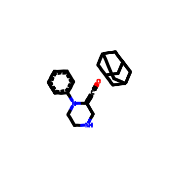 C1C2CC3CC1CC(C2)C3.O=C=C1CNCCN1c1ccccc1